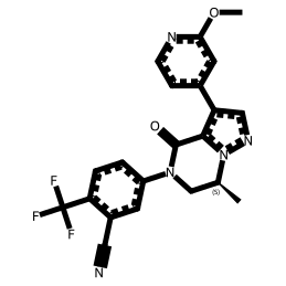 COc1cc(-c2cnn3c2C(=O)N(c2ccc(C(F)(F)F)c(C#N)c2)C[C@@H]3C)ccn1